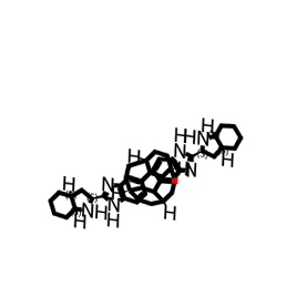 c1cc2[nH]c([C@@H]3C[C@@H]4CCCC[C@@H]4N3)nc2cc1C1C[C@H]2CC[C@@H]1CC[C@@H]1CC[C@H](CC2)C(c2ccc3[nH]c([C@@H]4C[C@@H]5CCCC[C@@H]5N4)nc3c2)C1